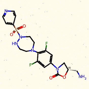 NC[C@H]1CN(c2cc(F)c(N3CCNN(S(=O)(=O)c4ccncc4)CC3)c(F)c2)C(=O)O1